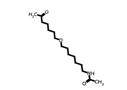 CC(=O)CCCCCOCCCCCCCNC(C)=O